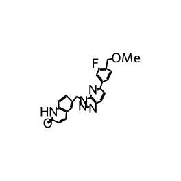 COCc1ccc(-c2ccc3nnn(Cc4ccc5[nH]c(=O)ccc5c4)c3n2)cc1F